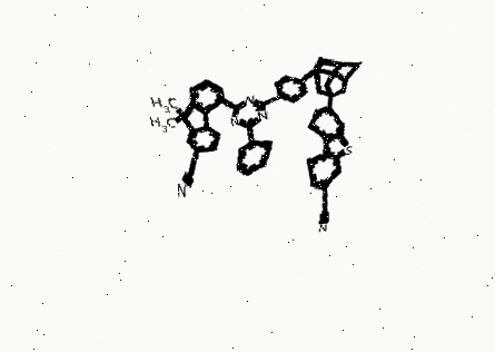 CC1(C)c2cc(C#N)ccc2-c2c(-c3nc(-c4ccccc4)nc(-c4ccc(C56CC7CC8CC(c9ccc%10c(c9)sc9cc(C#N)ccc9%10)(C5)CC876)cc4)n3)cccc21